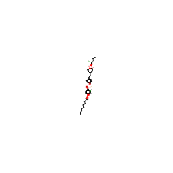 CCCCCCCCCCCOc1ccc(C(=O)Oc2ccc(CC[C@H]3CC[C@H](OC(=O)[C@@H](F)CCCC)CC3)cc2)c(F)c1